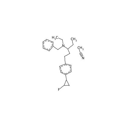 CC#N.CCC(CCc1ccc(C2CC2F)cc1)N(CC)Cc1ccccc1